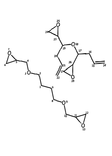 C(CCOCC1CO1)COCC1CO1.C=CCC(OC(CC=C)C1CO1)C1CO1